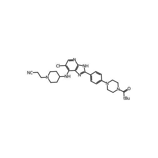 CC(C)(C)C(=O)N1CCN(c2ccc(-c3nc4c(NC5CCN(CCC#N)CC5)c(Cl)cnc4[nH]3)cc2)CC1